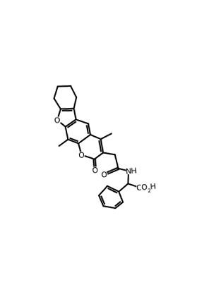 Cc1c(CC(=O)NC(C(=O)O)c2ccccc2)c(=O)oc2c(C)c3oc4c(c3cc12)CCCC4